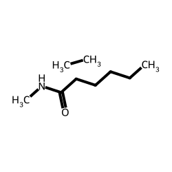 CC.CCCCCC(=O)NC